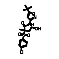 CC(C)(C)c1cc(NC(=O)C(C)(CCO)S(=O)(=O)c2ccc(Cl)cc2)no1